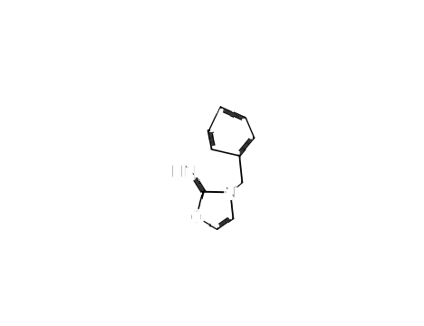 N=c1occn1Cc1ccccc1